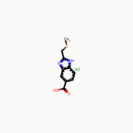 CSCc1nc2cc(C(=O)O)ccc2[nH]1.Cl